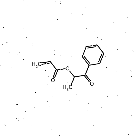 C=CC(=O)OC(C)C(=O)c1ccccc1